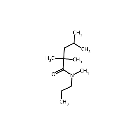 CCCN(C)C(=O)C(C)(C)CC(C)C